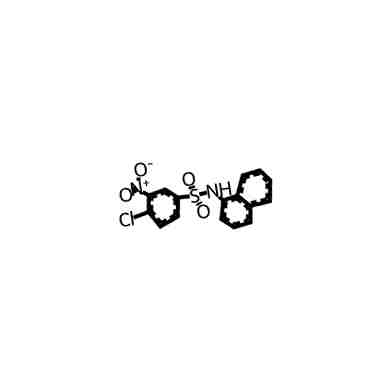 O=[N+]([O-])c1cc(S(=O)(=O)Nc2cccc3ccccc23)ccc1Cl